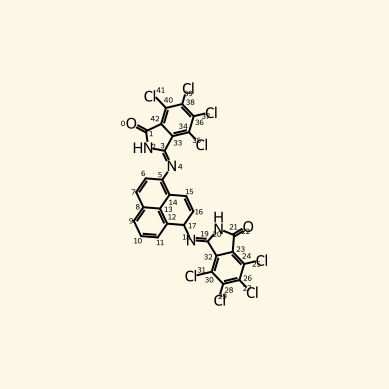 O=C1NC(=Nc2ccc3cccc4c3c2C=CC4N=C2NC(=O)c3c(Cl)c(Cl)c(Cl)c(Cl)c32)c2c(Cl)c(Cl)c(Cl)c(Cl)c21